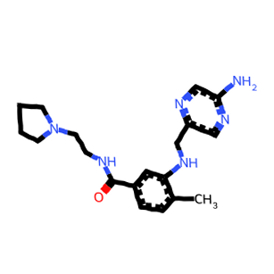 Cc1ccc(C(=O)NCCN2CCCC2)cc1NCc1cnc(N)cn1